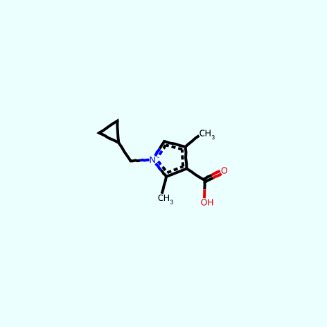 Cc1cn(CC2CC2)c(C)c1C(=O)O